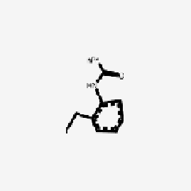 CCCC(=O)Nc1ccccc1CI